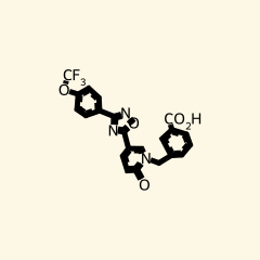 O=C(O)c1cccc(Cn2cc(-c3nc(-c4ccc(OC(F)(F)F)cc4)no3)ccc2=O)c1